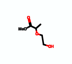 COC(=O)C(C)OCCO